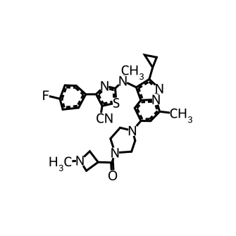 Cc1cc(N2CCN(C(=O)C3CN(C)C3)CC2)cc2c(N(C)c3nc(-c4ccc(F)cc4)c(C#N)s3)c(C3CC3)nn12